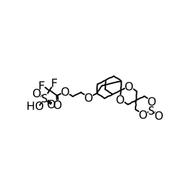 O=C(OCCOC12CC3CC(C1)C1(OCC4(COS(=O)OC4)CO1)C(C3)C2)C(F)(F)S(=O)(=O)O